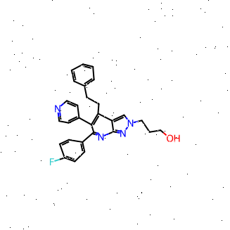 OCCCn1cc2c(CCc3ccccc3)c(-c3ccncc3)c(-c3ccc(F)cc3)nc2n1